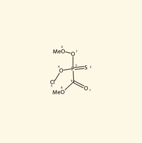 COOP(=S)(OCl)C(=O)OC